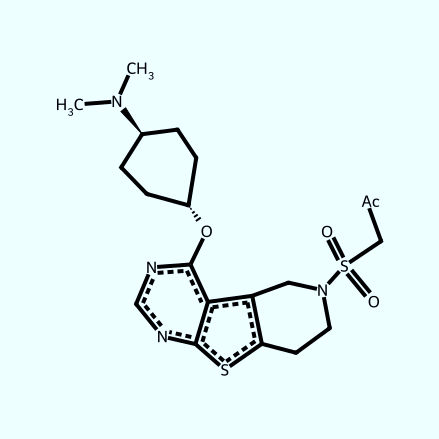 CC(=O)CS(=O)(=O)N1CCc2sc3ncnc(O[C@H]4CC[C@H](N(C)C)CC4)c3c2C1